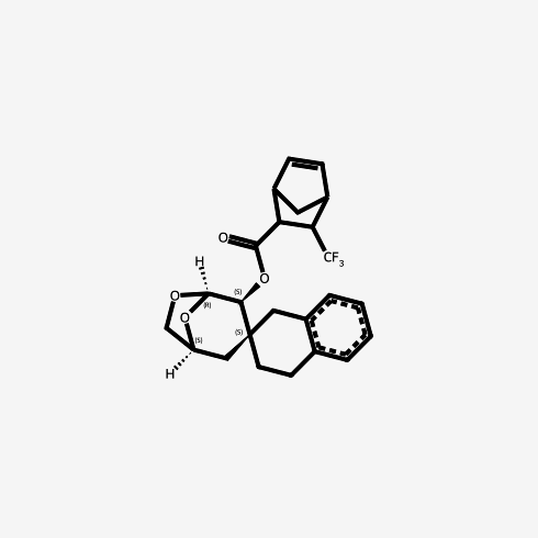 O=C(O[C@@H]1[C@@H]2OC[C@H](C[C@@]13CCc1ccccc1C3)O2)C1C2C=CC(C2)C1C(F)(F)F